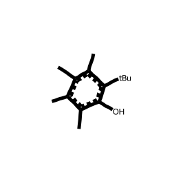 Cc1c(C)c(C)c(C(C)(C)C)c(O)c1C